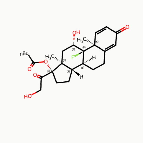 CCCCC(=O)O[C@@]1(C(=O)CO)CC[C@H]2[C@@H]3CCC4=CC(=O)C=C[C@]4(C)[C@@]3(F)[C@@H](O)C[C@@]21C